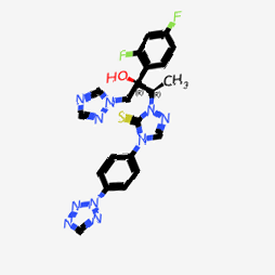 C[C@@H](n1ncn(-c2ccc(-n3ncnn3)cc2)c1=S)[C@](O)(Cn1cncn1)c1ccc(F)cc1F